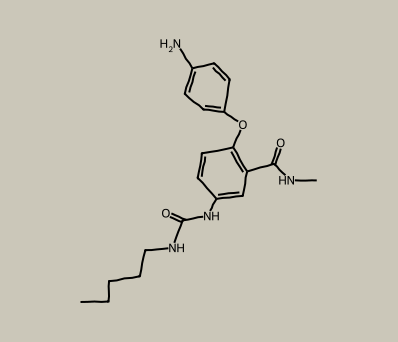 CCCCCNC(=O)Nc1ccc(Oc2ccc(N)cc2)c(C(=O)NC)c1